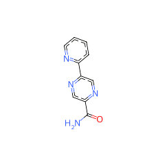 NC(=O)c1cnc(-c2ccccn2)cn1